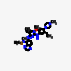 C=Cc1cnc(Nc2cc(CC)c(N3CCN(C)CC3)cc2OC)nc1Nc1ccc2nccnc2c1N(C)SC